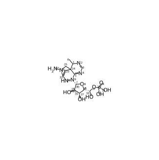 CC1N=CN=C2N([C@@H]3O[C@H](C(O)OP(=O)(O)O)[C@@H](O)[C@H]3O)NC3=CC21CN3N